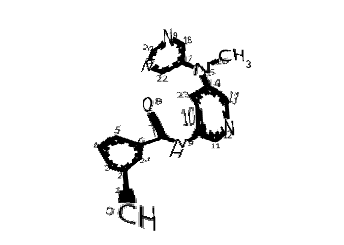 C#Cc1cccc(C(=O)Nc2cncc(N(C)c3cncnc3)c2)c1